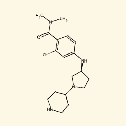 CN(C)C(=O)c1ccc(N[C@H]2CCN(C3CCNCC3)C2)cc1Cl